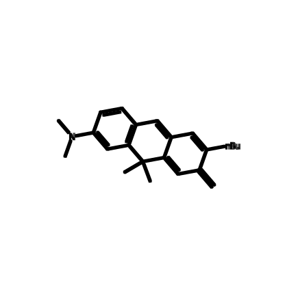 C=c1cc2c(cc1CCCC)=Cc1ccc(N(C)C)cc1C2(C)C